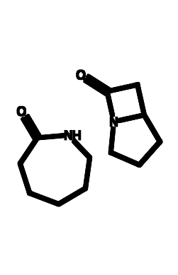 O=C1CC2CCCN12.O=C1CCCCCN1